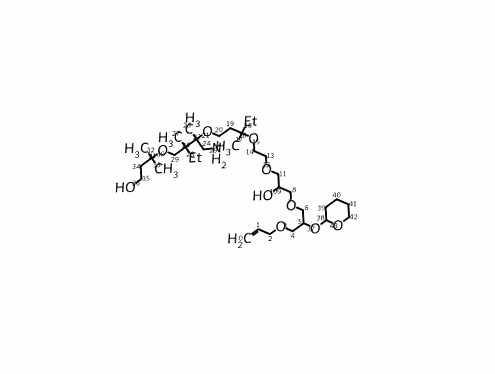 C=CCOCC(COCC(O)COCCOC(C)(CC)CCOC(C)(CN)C(C)(CC)COC(C)(C)CCO)OC1CCCCO1